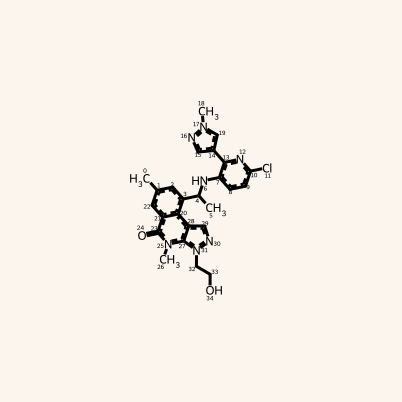 Cc1cc(C(C)Nc2ccc(Cl)nc2-c2cnn(C)c2)c2c(c1)c(=O)n(C)c1c2cnn1CCO